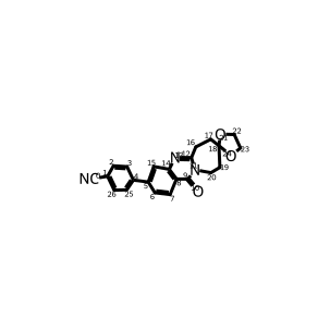 N#Cc1ccc(-c2ccc3c(=O)n4c(nc3c2)CCC2(CC4)OCCO2)cc1